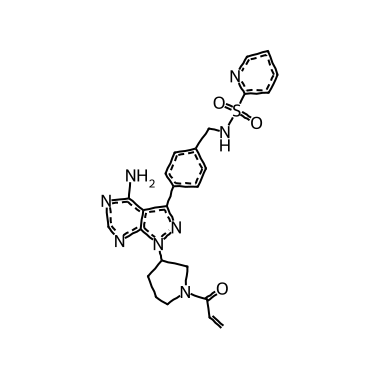 C=CC(=O)N1CCCC(n2nc(-c3ccc(CNS(=O)(=O)c4ccccn4)cc3)c3c(N)ncnc32)C1